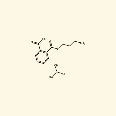 CCCCOC(=O)c1ccccc1C(=O)O.OB(O)O